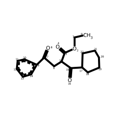 CCOC(=O)C(CC(=O)c1ccccc1)C(=O)C1CCCCC1